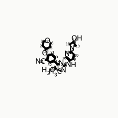 C=N/C(=N\C(=N/C)Nc1ccc(N2CC(O)C2)nc1)c1ccc(OC2CCOCC2)c(C#N)c1